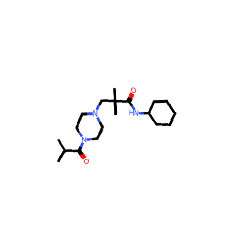 CC(C)C(=O)N1CCN(CC(C)(C)C(=O)NC2CCCCC2)CC1